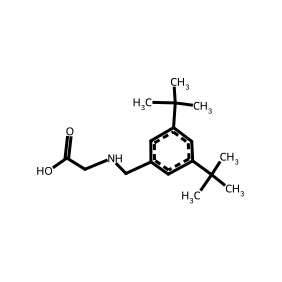 CC(C)(C)c1cc(CNCC(=O)O)cc(C(C)(C)C)c1